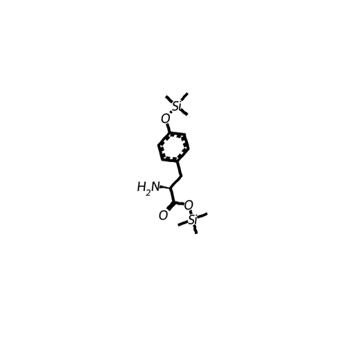 C[Si](C)(C)OC(=O)[C@@H](N)Cc1ccc(O[Si](C)(C)C)cc1